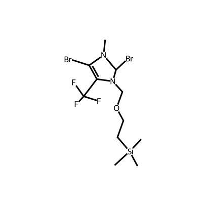 CN1C(Br)=C(C(F)(F)F)N(COCC[Si](C)(C)C)C1Br